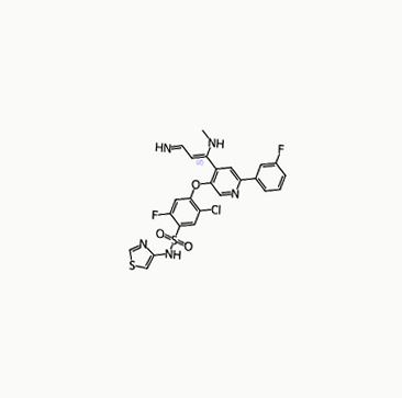 CN/C(=C\C=N)c1cc(-c2cccc(F)c2)ncc1Oc1cc(F)c(S(=O)(=O)Nc2cscn2)cc1Cl